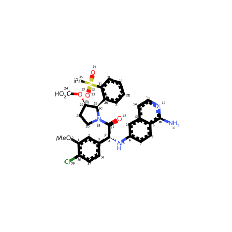 COc1cc([C@@H](Nc2ccc3c(N)nccc3c2)C(=O)N2CC[C@H](OC(=O)O)[C@H]2c2ccccc2S(=O)(=O)C(C)C)ccc1Cl